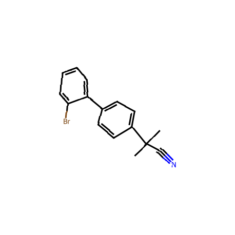 CC(C)(C#N)c1ccc(-c2ccccc2Br)cc1